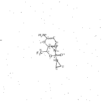 NC1=CCC=C(C(OP(=O)(N2CC2)N2CC2)C(F)(F)F)O1